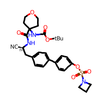 CC(C)(C)OC(=O)NC1(C(=O)N[C@H](C#N)Cc2ccc(-c3ccc(OS(=O)(=O)N4CCC4)cc3)cc2)CCOCC1